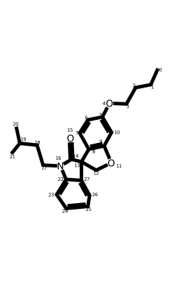 CCCCOc1ccc2c(c1)OCC21C(=O)N(CCC(C)C)c2ccccc21